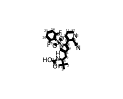 CC(C)(C)C(Cc1cc(-c2cccnc2C#N)n(S(=O)(=O)c2c(F)cccc2F)c1)NC(=O)O